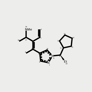 C=C/C(=C(/C)c1cnn([C@H](CC)C2CCCC2)c1)C(C)NC